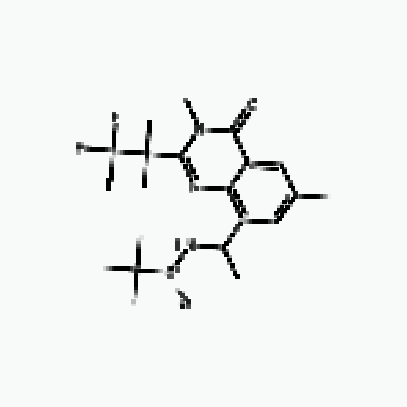 Cc1cc(C(C)N[S@+]([O-])C(C)(C)C)c2nc(C(C)(C)C(F)(F)F)n(C)c(=O)c2c1